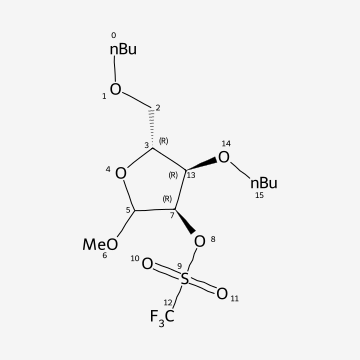 CCCCOC[C@H]1OC(OC)[C@H](OS(=O)(=O)C(F)(F)F)[C@@H]1OCCCC